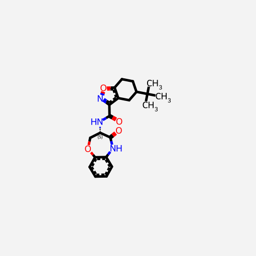 CC(C)(C)C1CCc2onc(C(=O)N[C@H]3COc4ccccc4NC3=O)c2C1